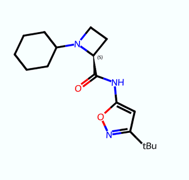 CC(C)(C)c1cc(NC(=O)[C@@H]2CCN2C2CCCCC2)on1